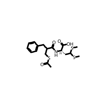 CSC(C[C@H](NC(=O)C(CSC(C)=O)Cc1ccccc1)C(=O)O)SC